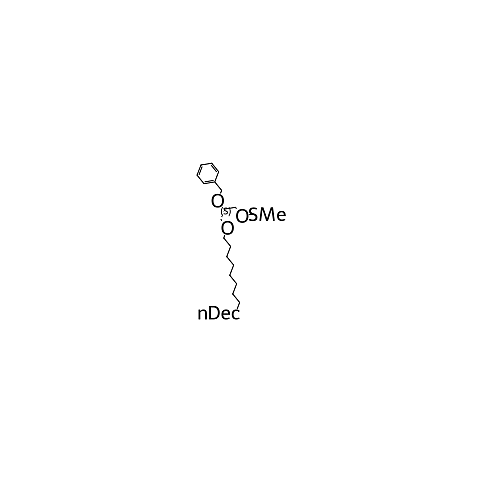 CCCCCCCCCCCCCCCCCCOC[C@@H](COSC)OCc1ccccc1